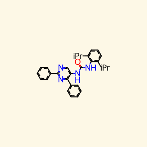 CC(C)c1cccc(C(C)C)c1NC(=O)Nc1cnc(-c2ccccc2)nc1-c1ccccc1